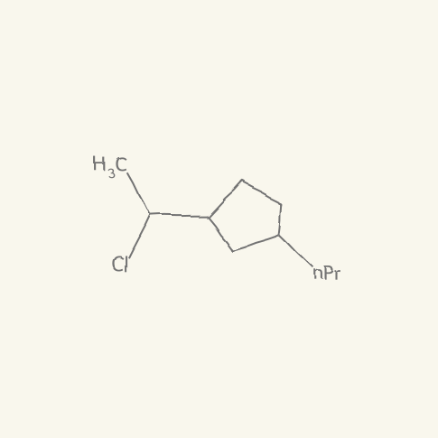 CCCC1CCC(C(C)Cl)C1